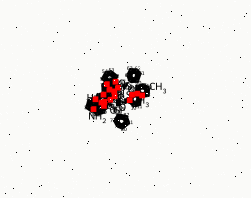 Cc1ccc([Si]2(C)O[Si]3(c4ccccc4)O[Si]4(c5ccccc5)O[Si]5(c6ccccc6)O[Si](C)(c6cccc(N)c6)O[Si]6(c7ccccc7)O[Si](c7ccccc7)(O[Si](c7ccccc7)(O2)O[Si](c2ccccc2)(O6)O[Si](c2ccccc2)(O3)O5)O4)cc1